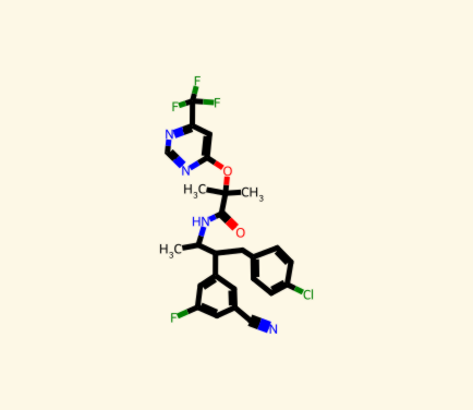 CC(NC(=O)C(C)(C)Oc1cc(C(F)(F)F)ncn1)C(Cc1ccc(Cl)cc1)c1cc(F)cc(C#N)c1